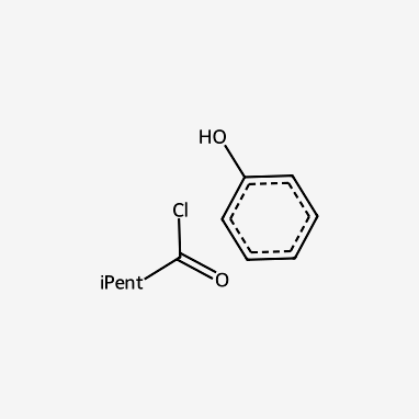 CCCC(C)C(=O)Cl.Oc1ccccc1